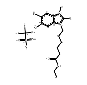 CCOC(=O)CCCCC[n+]1c(C)n(C)c2cc(Cl)c(Cl)cc21.O=S(=O)([O-])C(F)(F)F